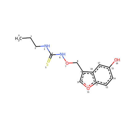 CCCNC(=S)NOCc1coc2ccc(O)cc12